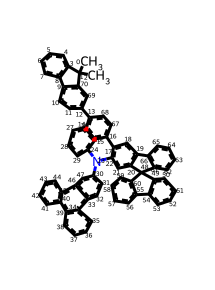 CC1(C)c2ccccc2-c2ccc(-c3ccc(-c4cc5c(cc4N(c4ccccc4)c4ccc6c7ccccc7c7ccccc7c6c4)C4(c6ccccc6-c6ccccc64)c4ccccc4-5)cc3)cc21